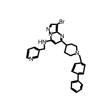 Brc1cnn2c(NCc3cccnc3)cc(C3CCN(Cc4ccc(-c5ccccc5)cc4)CC3)nc12